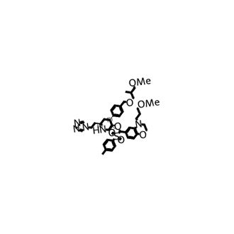 COCCCN1CCOc2ccc(C(O[C@H]3CN[C@@H](CCn4cnnc4)C[C@@H]3c3ccc(COCC(C)COC)cc3)S(=O)(=O)c3ccc(C)cc3)cc21